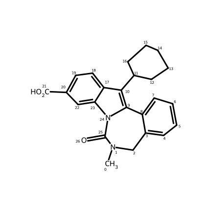 CN1Cc2ccccc2-c2c(C3CCCCC3)c3ccc(C(=O)O)cc3n2C1=O